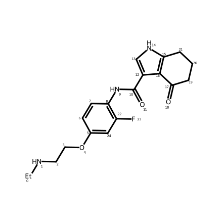 CCNCCOc1ccc(NC(=O)c2c[nH]c3c2C(=O)CCC3)c(F)c1